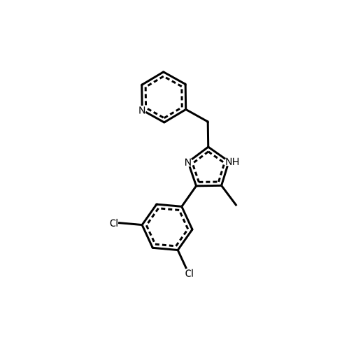 Cc1[nH]c(Cc2cccnc2)nc1-c1cc(Cl)cc(Cl)c1